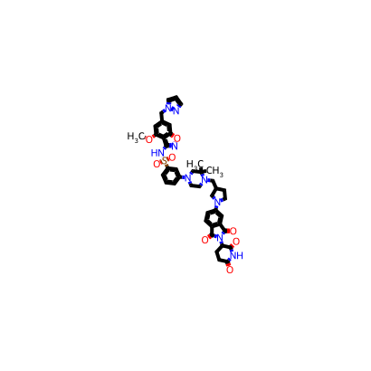 COc1cc(Cn2cccn2)cc2onc(NS(=O)(=O)c3cccc(N4CCN(CC5CCN(c6ccc7c(c6)C(=O)N(C6CCC(=O)NC6=O)C7=O)C5)C(C)(C)C4)c3)c12